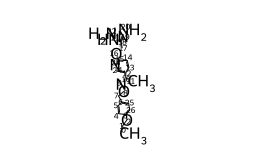 CCOc1ccc(CO/N=C(\C)c2ccc(OC/C(=N/N)NN)nc2)cc1